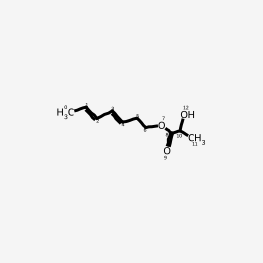 C/C=C/C=C/CCOC(=O)C(C)O